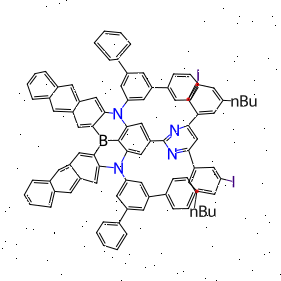 CCCCc1cc(I)cc(-c2cc(-c3cc(I)cc(CCCC)c3)nc(-c3cc4c5c(c3)N(c3cc(-c6ccccc6)cc(-c6ccccc6)c3)c3cc6cc7ccccc7cc6cc3B5c3cc5cc6ccccc6cc5cc3N4c3cc(-c4ccccc4)cc(-c4ccccc4)c3)n2)c1